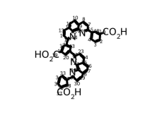 O=C(O)c1cccc(-c2ccc3ccc4ccc(-c5cc(C(=O)O)cc(-c6ccc7ccc8ccc(-c9cccc(C(=O)O)c9)nc8c7n6)c5)nc4c3n2)c1